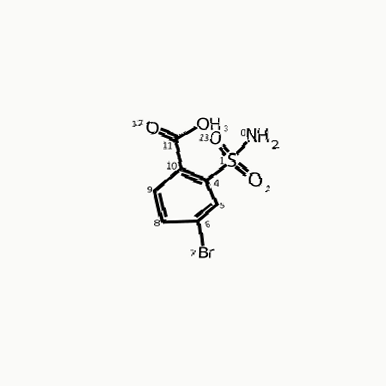 NS(=O)(=O)c1cc(Br)ccc1C(=O)O